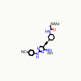 CCCNc1nc(Nc2ccc(C#N)cc2)ncc1C#C[C@@H]1CCC[C@H](NC(=O)CNC)C1